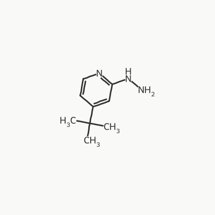 CC(C)(C)c1ccnc(NN)c1